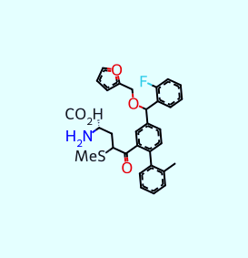 CSC(C[C@H](N)C(=O)O)C(=O)c1cc(C(OCc2ccco2)c2ccccc2F)ccc1-c1ccccc1C